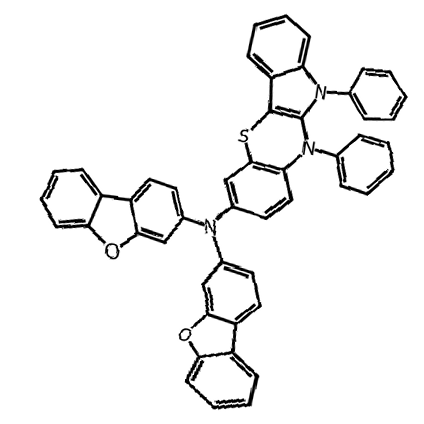 c1ccc(N2c3ccc(N(c4ccc5c(c4)oc4ccccc45)c4ccc5c(c4)oc4ccccc45)cc3Sc3c2n(-c2ccccc2)c2ccccc32)cc1